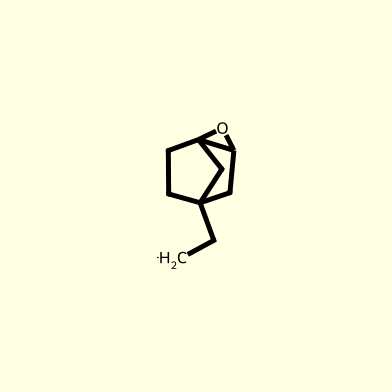 [CH2]CC12CCC3(C1)OC3C2